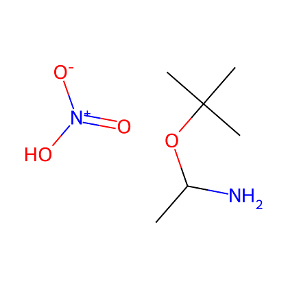 CC(N)OC(C)(C)C.O=[N+]([O-])O